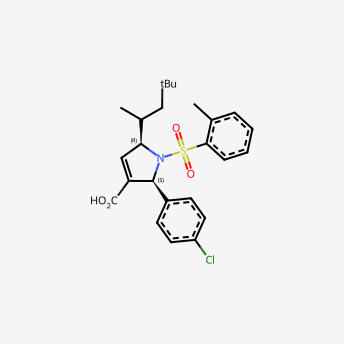 Cc1ccccc1S(=O)(=O)N1[C@@H](c2ccc(Cl)cc2)C(C(=O)O)=C[C@H]1C(C)CC(C)(C)C